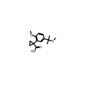 COc1ccc(C(C)(C)OC)cc1C1(C(=O)O)CC1